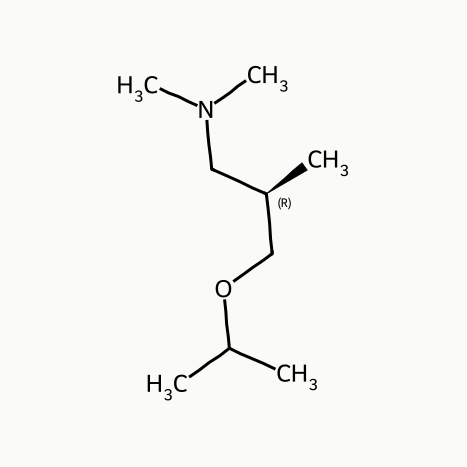 CC(C)OC[C@H](C)CN(C)C